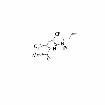 C=CCCN(c1nc(C(=O)OC)c([N+](=O)[O-])cc1C(F)(F)F)C(C)C